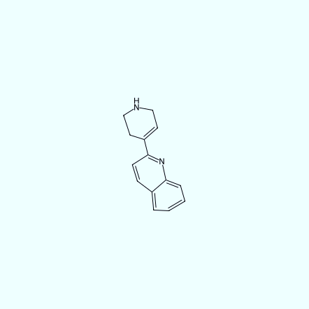 C1=C(c2ccc3ccccc3n2)CCNC1